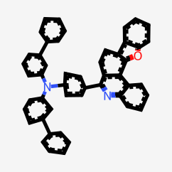 c1ccc(-c2cccc(N(c3ccc(-c4nc5ccccc5c5c4ccc4c6ccccc6oc45)cc3)c3cccc(-c4ccccc4)c3)c2)cc1